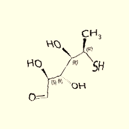 C[C@@H](S)[C@H](O)[C@H](O)[C@H](O)C=O